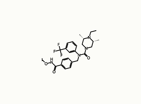 CCN1[C@H](C)CN(C(=O)N(Cc2ccc(C(=O)NOI)cc2)c2cccc(C(F)(F)F)c2)C[C@@H]1C